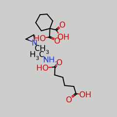 CN.CN1CC1.O=C(O)C1(C(=O)O)CCCCC1.O=C(O)CCCCC(=O)O